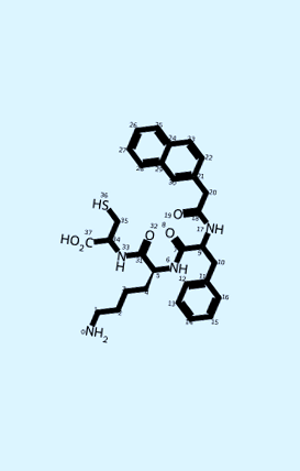 NCCCC[C@H](NC(=O)C(Cc1ccccc1)NC(=O)Cc1ccc2ccccc2c1)C(=O)NC(CS)C(=O)O